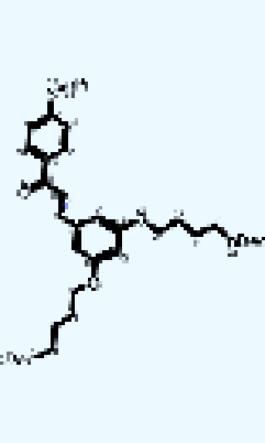 CCCCCCCCCCCCCCOc1cc(/C=C/C(=O)c2ccc(SCCC)cc2)cc(OCCCCCCCCCCCCCC)c1